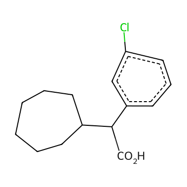 O=C(O)C(c1cccc(Cl)c1)C1CCCCCC1